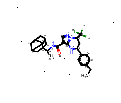 CCc1ccc(C2CC(C(F)(F)F)n3ncc(C(=O)NC(C)C45CC6CC(CC(C6)C4)C5)c3N2)cc1